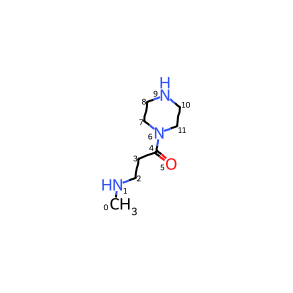 CNCCC(=O)N1CCNCC1